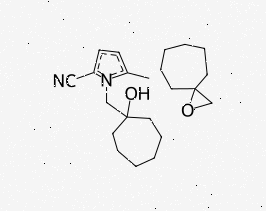 C1CCCC2(CC1)CO2.Cc1ccc(C#N)n1CC1(O)CCCCCC1